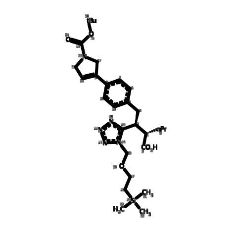 CCC[C@H](C(=O)O)[C@H](Cc1ccc(C2=CCN(C(=O)OC(C)(C)C)C2)cc1)c1nnnn1COCC[Si](C)(C)C